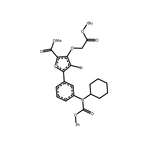 COC(=O)c1sc(-c2cccc(N(C(=O)OC(C)C)C3CCCCC3)c2)c(Br)c1OCC(=O)OC(C)(C)C